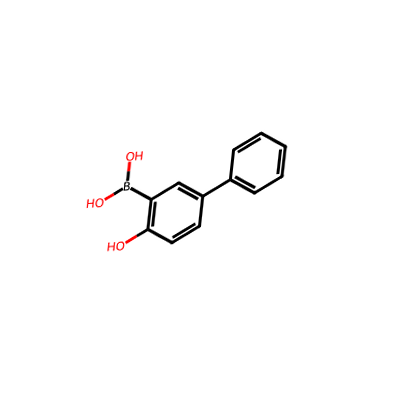 OB(O)c1cc(-c2ccccc2)ccc1O